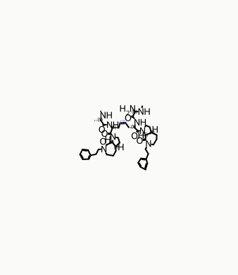 CN[C@@H](C)C(=O)N[C@@H](C/C=C\C[C@H](NC(=O)[C@H](N)NC)C(=O)N1CC[C@H]2CCCN(CCc3ccccc3)C(=O)[C@H]21)C(=O)N1CC[C@H]2CCCN(CCc3ccccc3)C(=O)[C@H]21